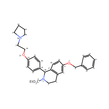 CCOC(=O)N1CCc2cc(OCc3ccccc3)ccc2C1c1ccc(OCCN2CCCC2)cc1